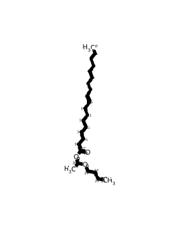 CCCCCCCCC=CCCCCCCCC(=O)OC(C)OCCCC